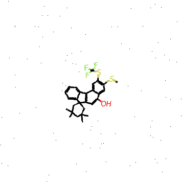 CSc1cc2c(O)cc3c(c2cc1SC(F)(F)F)-c1ccccc1C31CC(C)(C)CC(C)(C)C1